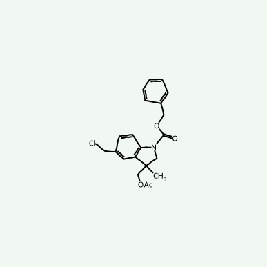 CC(=O)OCC1(C)CN(C(=O)OCc2ccccc2)c2ccc(CCl)cc21